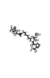 C=NC(=O)[C@@H]1CCCN1C(=O)[C@H](CCCCC/C=C\[C@@H]1C[C@@H]1C(=O)NS(=O)(=O)N(C)C)NC(=O)OC(C)(C)C